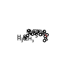 CC1(C)c2cc(N(c3ccccc3)c3ccc([Si](C)(C)C)cc3)ccc2-c2sc3c(c21)C(C)(C)c1cc(N(c2ccc4sc5ccccc5c4c2)c2ccccc2-c2ccccc2)ccc1-3